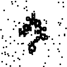 O=C(N[C@@H]1COC[C@H]1OCCN1CCOCC1)c1ccc2[nH]c(=O)n(-c3ccc(C(F)(F)F)cn3)c2c1